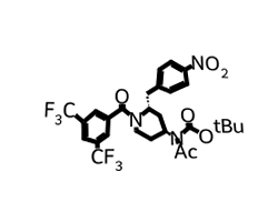 CC(=O)N(C(=O)OC(C)(C)C)[C@H]1CCN(C(=O)c2cc(C(F)(F)F)cc(C(F)(F)F)c2)[C@H](Cc2ccc([N+](=O)[O-])cc2)C1